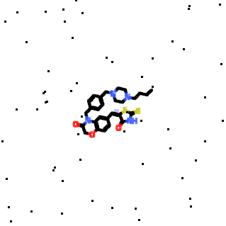 CCCCN1CCN(Cc2ccc(CN3C(=O)COc4ccc(/C=C5/SC(=S)NC5=O)cc43)cc2)CC1